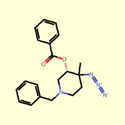 CC1(N=[N+]=[N-])CCN(Cc2ccccc2)C[C@@H]1OC(=O)c1ccccc1